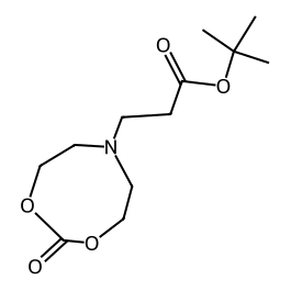 CC(C)(C)OC(=O)CCN1CCOC(=O)OCC1